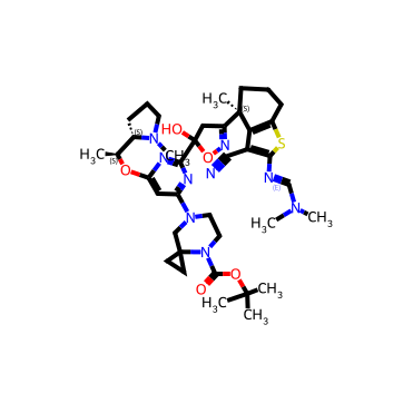 C[C@H](Oc1cc(N2CCN(C(=O)OC(C)(C)C)C3(CC3)C2)nc(C2(O)CC([C@@]3(C)CCCc4sc(/N=C/N(C)C)c(C#N)c43)=NO2)n1)[C@@H]1CCCN1C